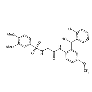 COc1ccc(S(=O)(=O)NCC(=O)Nc2ccc(OC(F)(F)F)cc2C(O)c2ccccc2Cl)cc1OC